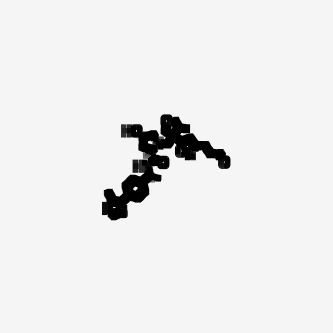 Cc1ncsc1-c1ccc([C@H](C)NC(=O)[C@@H]2C[C@@H](O)CN2CC(C=O)(c2cc(CCC=O)no2)C(C)C)cc1